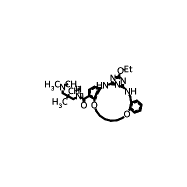 CCOc1nc2nc(n1)Nc1ccc(C(=O)NCC(C)(C)CN(C)C)c(c1)OCCCCCCOc1ccccc1CN2